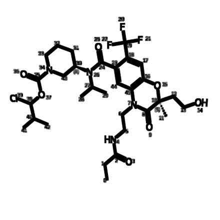 CCC(=O)NCCN1C(=O)[C@](C)(CCO)Oc2cc(C(F)(F)F)c(C(=O)N(C(C)C)[C@@H]3CCCN(C(=O)OC(Cl)C(C)C)C3)cc21